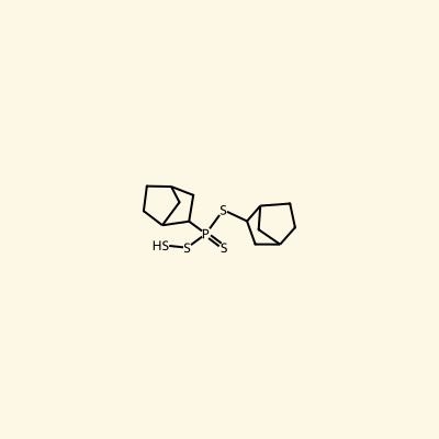 S=P(SS)(SC1CC2CCC1C2)C1CC2CCC1C2